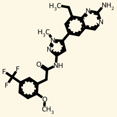 CCc1cc(-c2cc(NC(=O)Cc3cc(C(F)(F)F)ccc3OC)nn2C)cc2cnc(N)nc12